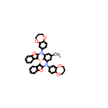 Cc1cc2c3c(c1)N(c1ccc4c(c1)OCCCO4)c1oc4ccccc4c1B3c1c(oc3ccccc13)N2c1ccc2c(c1)OCCCO2